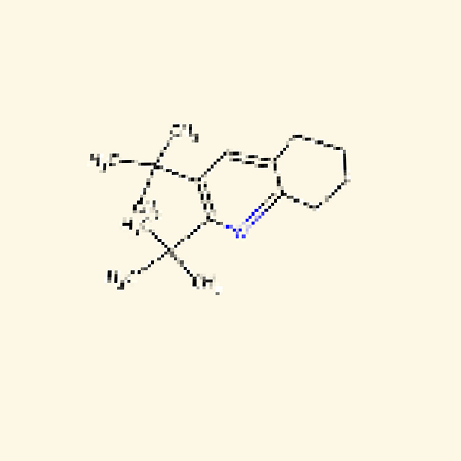 CC(C)(C)c1cc2c(nc1C(C)(C)C)CCCC2